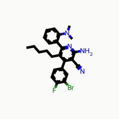 CCCCCc1c(-c2ccccc2N(C)C)nc(N)c(C#N)c1-c1ccc(F)c(Br)c1